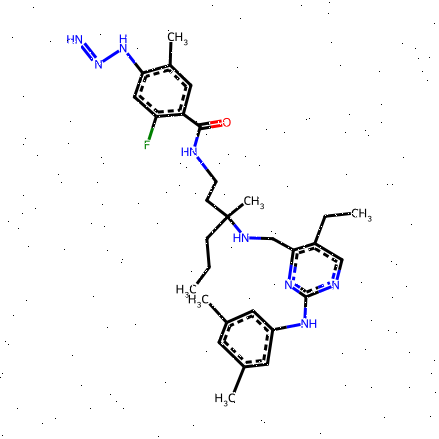 CCCC(C)(CCNC(=O)c1cc(C)c(NN=N)cc1F)NCc1nc(Nc2cc(C)cc(C)c2)ncc1CC